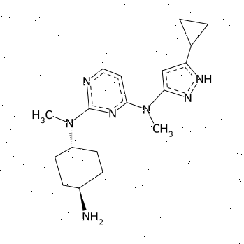 CN(c1cc(C2CC2)[nH]n1)c1ccnc(N(C)[C@H]2CC[C@H](N)CC2)n1